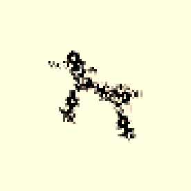 COc1cccc2c1C(=O)N([C@H](C(=O)N1C[C@H](OCC(C)(C)C(=O)N[C@H](C(=O)N3C[C@H](O)C[C@H]3C(=O)NCc3ccc(-c4scnc4C)cc3)C(C)(C)C)C[C@H]1C(=O)NCc1ccc(-c3scnc3C)cc1)C(C)C)C2